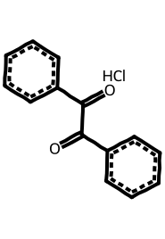 Cl.O=C(C(=O)c1ccccc1)c1ccccc1